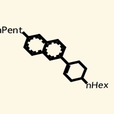 CCCCCCC1CC=C(c2ccc3cc(CCCCC)ccc3c2)CC1